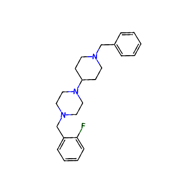 Fc1ccccc1CN1CCN(C2CCN(Cc3ccccc3)CC2)CC1